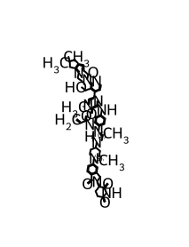 C=CC(=O)Nc1cc(Nc2nc(-c3ccnc(N4CCn5c(cc6c5CC(C)(C)C6)C4=O)c3CO)cn(C)c2=O)ccc1N1CCN(C2CCN(c3ccc4c(c3)CN(C3CCC(=O)NC3=O)C4=O)[C@@H](C)C2)C[C@@H]1C